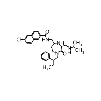 CC[C@H](CN1CC[C@@H](CNC(=O)c2ccc3cc(Cl)ccc3c2)N[C@@H](CNC(C)C)C1=O)c1ccccc1